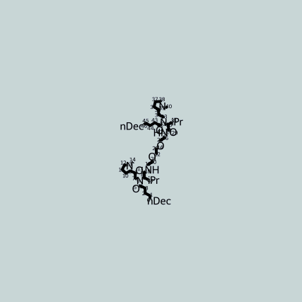 CCCCCCCCCCCCCC(=O)N(CCC1CCCN1C)C(C(=O)NCCOCCOCCNC(=O)C(C(C)C)N(CCC1CCCN1C)C(=O)CCCCCCCCCCCCC)C(C)C